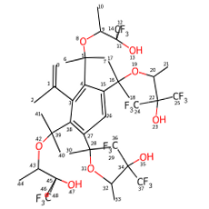 C=C(C)c1c(C(C)(C)OC(C)C(C)(O)C(F)(F)F)c(C(C)(C)OC(C)C(O)(C(F)(F)F)C(F)(F)F)cc(C(C)(C)OC(C)C(O)(C(F)(F)F)C(F)(F)F)c1C(C)(C)OC(C)C(C)(O)C(F)(F)F